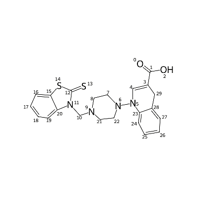 O=C(O)C1=CN(N2CCN(Cn3c(=S)sc4ccccc43)CC2)c2ccccc2C1